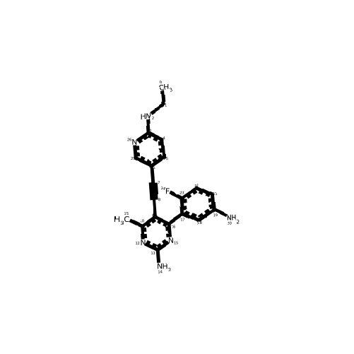 CCNc1ccc(C#Cc2c(C)nc(N)nc2-c2cc(N)ccc2F)cn1